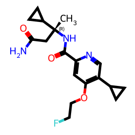 C[C@](CC(N)=O)(NC(=O)c1cc(OCCF)c(C2CC2)cn1)C1CC1